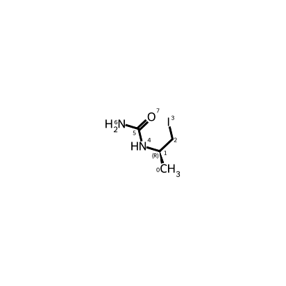 C[C@H](CI)NC(N)=O